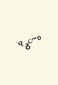 O=C(O)c1ccccc1OCCN1CCC(c2cn(Cc3ccc4c(c3)OCO4)c3ccccc23)CC1